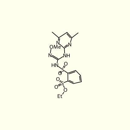 CCOS(=O)(=O)c1ccccc1S(=O)(=O)NC(=NOC)Nc1nc(C)cc(C)n1